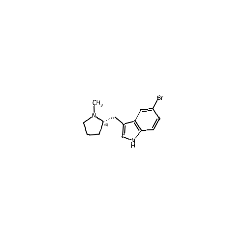 CN1CCC[C@H]1Cc1c[nH]c2ccc(Br)cc12